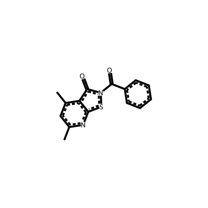 Cc1cc(C)c2c(=O)n(C(=O)c3ccccc3)sc2n1